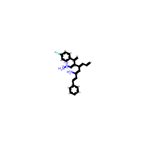 C=C/C=C(\C=C(N)\C=C\c1ccccc1)C(=C/NN)/C(=C)c1ccc(F)cc1